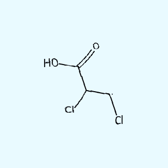 O=C(O)C(Cl)[CH]Cl